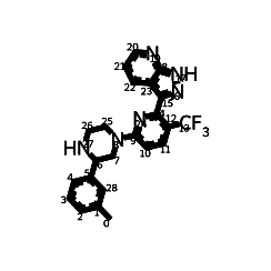 Cc1cccc(C2CN(c3ccc(C(F)(F)F)c(-c4n[nH]c5ncccc45)n3)CCN2)c1